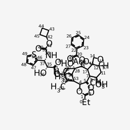 CCC(=O)OC1C(=O)[C@]2(C)C(O)C[C@H]3OC[C@@]3(OC(C)=O)C2[C@H](OC(=O)c2ccccc2)[C@]2(O)C[C@H](OC(=O)[C@H](O)[C@@H](NC(=O)OC3CCC3)c3cccs3)C(C)=C1C2(C)C